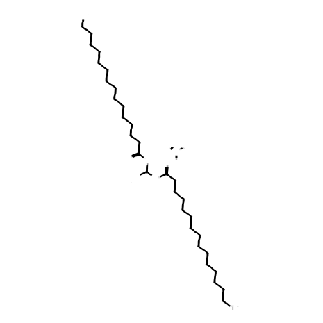 CC(C)CCCCCCCCCCCCCCC(=O)OC(OC(=O)CCCCCCCCCCCCCCC(C)C)C(=O)O.[O]=[Ti]([OH])[OH]